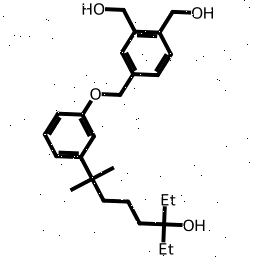 CCC(O)(CC)CCCC(C)(C)c1cccc(OCc2ccc(CO)c(CO)c2)c1